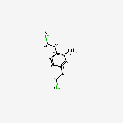 Cc1cc(CCCl)ccc1CCCl